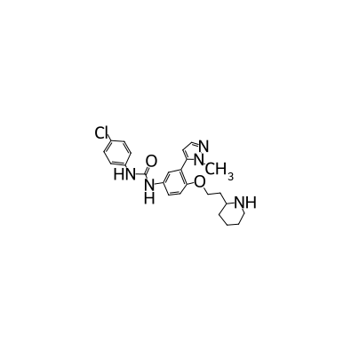 Cn1nccc1-c1cc(NC(=O)Nc2ccc(Cl)cc2)ccc1OCCC1CCCCN1